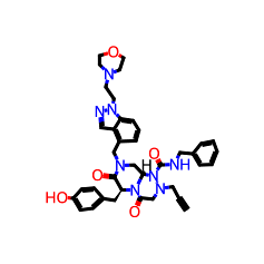 C#CCN1CC(=O)N2[C@@H](Cc3ccc(O)cc3)C(=O)N(Cc3cccc4c3cnn4CCN3CCOCC3)C[C@@H]2N1C(=O)NCc1ccccc1